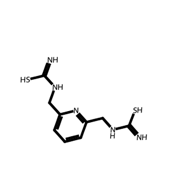 N=C(S)NCc1cccc(CNC(=N)S)n1